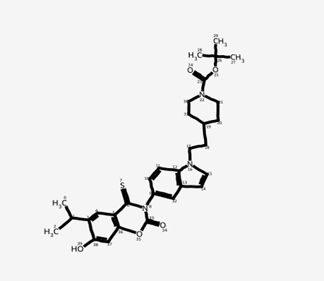 CC(C)c1cc2c(=S)n(-c3ccc4c(ccn4CCC4CCN(C(=O)OC(C)(C)C)CC4)c3)c(=O)oc2cc1O